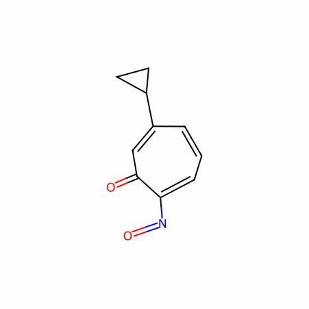 O=Nc1cccc(C2CC2)cc1=O